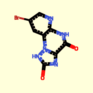 O=c1nc2c(=O)[nH]c3ncc(Br)cc3n2[nH]1